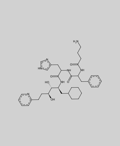 NCCCC(=O)NC(Cc1ccccc1)C(=O)NC(Cc1c[nH]cn1)C(=O)N[C@@H](CC1CCCCC1)[C@@H](O)[C@@H](O)CCc1ccccn1